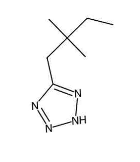 CCC(C)(C)Cc1nn[nH]n1